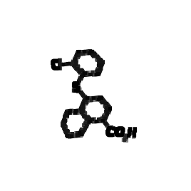 O=C(O)c1ccc(Sc2ccccc2Cl)c2ccccc12